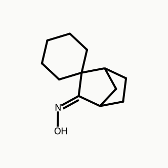 ON=C1C2CCC(C2)C12CCCCC2